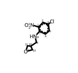 O=[N+]([O-])c1cc(Cl)ccc1NCC1COC1